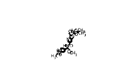 CC[C@H]1c2ncc(C(=O)N[C@@H](COC)c3ccc(S(=O)(=O)CC)cc3)cc2CN1C(=O)OC(C)(C)C